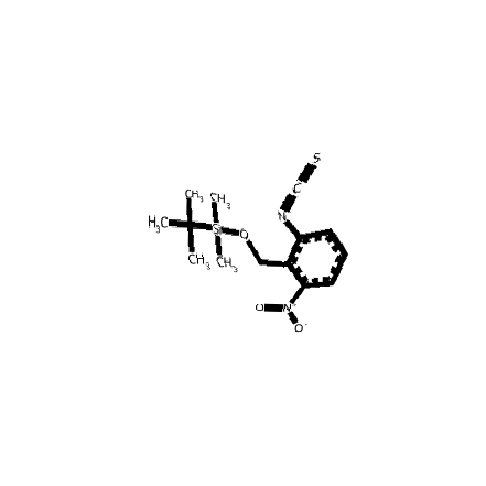 CC(C)(C)[Si](C)(C)OCc1c(N=C=S)cccc1[N+](=O)[O-]